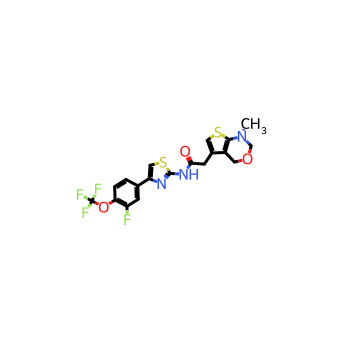 CN1COCc2c(CC(=O)Nc3nc(-c4ccc(OC(F)(F)F)c(F)c4)cs3)csc21